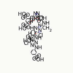 C=C(/N=C(\N=C(/C)Cl)Nc1ccc(S(=O)(=O)O)c(Nc2nc(Cl)nc(Nc3cccc(S(=O)(=O)O)c3)n2)c1)Nc1ccc(/N=N\c2cc3c(S(=O)(=O)O)cc(S(=O)(=O)O)cc3cc2S(=O)(=O)O)c(NCN=O)c1